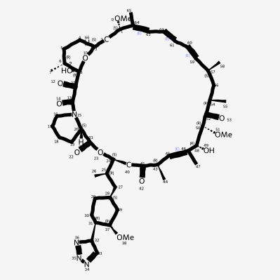 CO[C@H]1C[C@@H]2CC[C@@H](C)[C@@](O)(O2)C(=O)C(=O)N2CCCC[C@H]2C(=O)O[C@H]([C@H](C)C[C@@H]2CC[C@H](C3C=NN=N3)[C@H](OC)C2)CC(=O)[C@H](C)/C=C(\C)[C@@H](O)[C@@H](OC)C(=O)[C@H](C)C[C@H](C)/C=C/C=C/C=C/1C